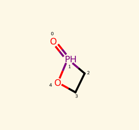 O=[PH]1CCO1